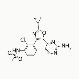 CS(=O)(=O)Nc1cccc(-c2nc(C3CC3)oc2-c2ccnc(N)n2)c1Cl